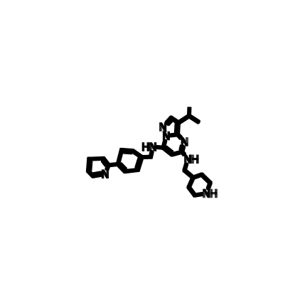 CC(C)c1cnn2c(NCc3ccc(-c4ccccn4)cc3)cc(NCC3CCNCC3)nc12